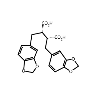 O=C(O)[C@@H](Cc1ccc2c(c1)OCO2)[C@@H](Cc1ccc2c(c1)OCO2)C(=O)O